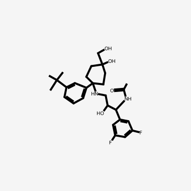 CC(=O)NC(c1cc(F)cc(F)c1)C(O)CNC1(c2cccc(C(C)(C)C)c2)CCC(O)(CO)CC1